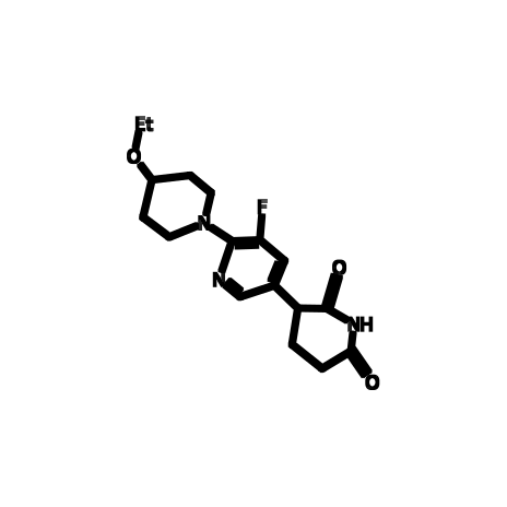 CCOC1CCN(c2ncc(C3CCC(=O)NC3=O)cc2F)CC1